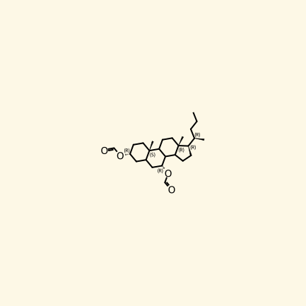 CCC[C@@H](C)[C@H]1CCC2C3C(CC[C@@]21C)[C@@]1(C)CC[C@@H](OC=O)CC1C[C@H]3OC=O